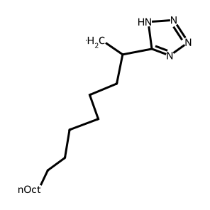 [CH2]C(CCCCCCCCCCCCCC)c1nnn[nH]1